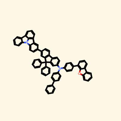 c1ccc(-c2ccc(N(c3ccc(-c4cccc5c4oc4ccccc45)cc3)c3ccc4c(c3)C(c3ccccc3)(c3ccccc3)c3cc(-c5ccc6c(c5)c5cccc7c8ccccc8n6c75)ccc3-4)cc2)cc1